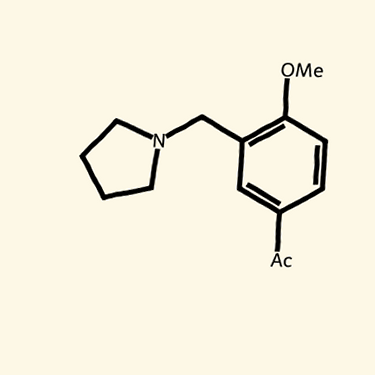 COc1ccc(C(C)=O)cc1CN1CCCC1